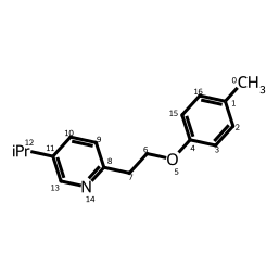 Cc1ccc(OCCc2ccc(C(C)C)cn2)cc1